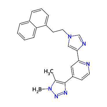 Bn1nnc(-c2ccnc(-c3cn(CCc4cccc5ccccc45)cn3)c2)c1C